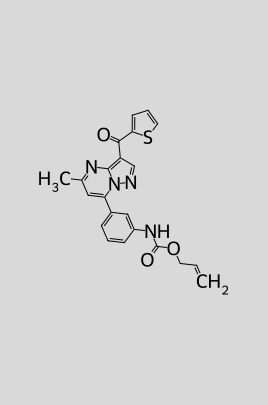 C=CCOC(=O)Nc1cccc(-c2cc(C)nc3c(C(=O)c4cccs4)cnn23)c1